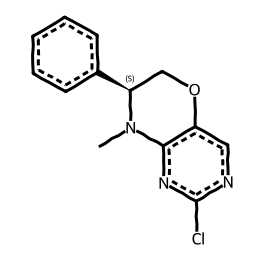 CN1c2nc(Cl)ncc2OC[C@@H]1c1ccccc1